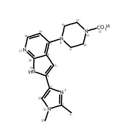 Cc1nc(-c2cc3c(N4CCN(C(=O)O)CC4)ccnc3[nH]2)cn1C